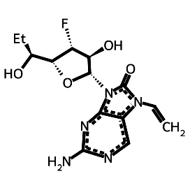 C=Cn1c(=O)n([C@@H]2O[C@H]([C@@H](O)CC)[C@H](F)[C@H]2O)c2nc(N)ncc21